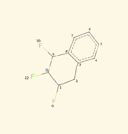 FC1Cc2ccccc2C(F)C1F